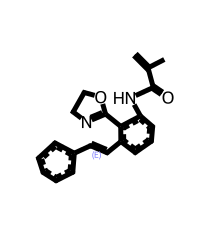 C=C(C)C(=O)Nc1cccc(/C=C/c2ccccc2)c1C1=NCCO1